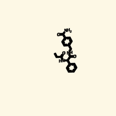 CCC(=O)NC(C(=O)NCc1ccc(C(N)=O)cc1)c1ccccc1